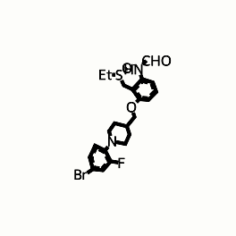 CC[S+]([O-])Cc1c(NC=O)cccc1OCC1CCN(c2ccc(Br)cc2F)CC1